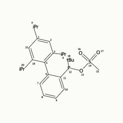 CC(C)c1cc(C(C)C)c(-c2ccccc2P(OS(C)(=O)=O)C(C)(C)C)c(C(C)C)c1